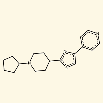 c1cc(-c2csc(C3CCN(C4CCCC4)CC3)n2)ccn1